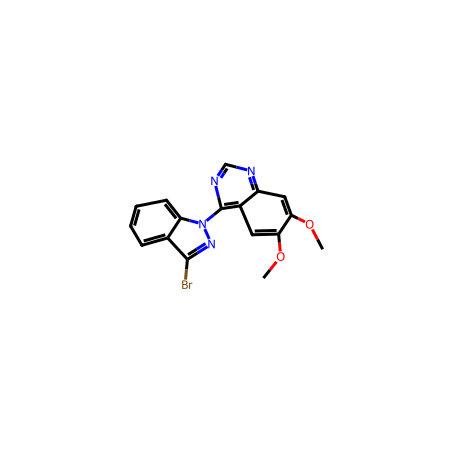 COc1cc2ncnc(-n3nc(Br)c4ccccc43)c2cc1OC